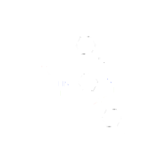 C[C@H](c1ccc(F)cc1CCCC(=O)O)c1cc(NF)cc(S(=O)(=O)c2ccc(Cl)cc2)c1NF